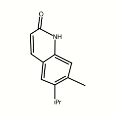 Cc1cc2[nH]c(=O)ccc2cc1C(C)C